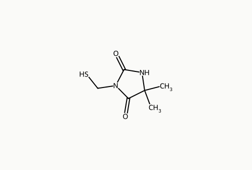 CC1(C)NC(=O)N(CS)C1=O